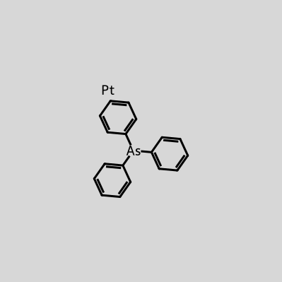 [Pt].c1ccc([As](c2ccccc2)c2ccccc2)cc1